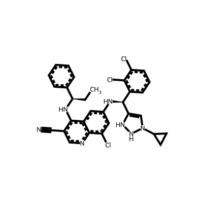 CC[C@@H](Nc1c(C#N)cnc2c(Cl)cc(N[C@H](C3=CN(C4CC4)NN3)c3cccc(Cl)c3Cl)cc12)c1ccccc1